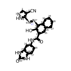 N#Cc1cn[nH]c1/N=N/c1c(O)c(C(=O)Nc2ccc3[nH]c(=O)[nH]c3c2)cc2ccccc12